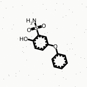 NS(=O)(=O)c1cc(Oc2ccccc2)ccc1O